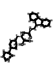 O=C(N[C@@H](Cc1ccc(-c2nncnn2)cc1)C(=O)O)OCC1c2ccccc2-c2ccccc21